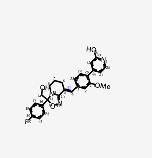 COc1cc(/C=C2\CCCN3C2=NOC3(CO)c2ccc(F)cc2)ccc1-c1ccnc(O)c1